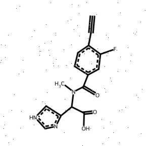 [C]#Cc1ccc(C(=O)N(C)C(C(=O)O)c2c[nH]cn2)cc1F